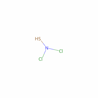 SN(Cl)Cl